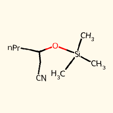 CCCC(C#N)O[Si](C)(C)C